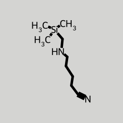 C[Si](C)(C)CNCCCCC#N